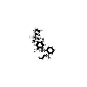 CCCN(C)[C@H]1CCCC[C@@H]1Nc1cc(F)c(S(=O)(=O)Nc2nccs2)cc1Cl